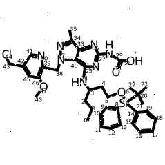 CCCC(CCO[Si](c1ccccc1)(c1ccccc1)C(C)(C)C)Nc1nc(NC(=O)O)nc2c(C)nn(Cc3ncc(CCl)cc3OC)c12